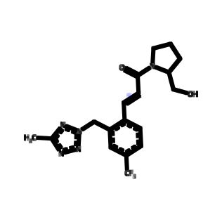 Cc1nnn(Cc2cc(C(F)(F)F)ccc2/C=C/C(=O)N2CCCC2CO)n1